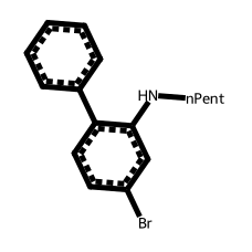 CCCCCNc1cc(Br)ccc1-c1ccccc1